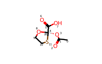 CC(=O)O[C@@]1(C(=O)O)OCCS1